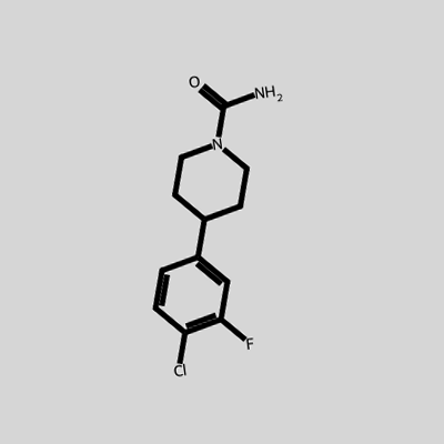 NC(=O)N1CC[C](c2ccc(Cl)c(F)c2)CC1